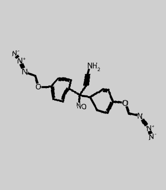 [N-]=[N+]=NCOC1=CCC(C(C#CN)(N=O)c2ccc(OCN=[N+]=[N-])cc2)C=C1